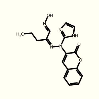 CCCC(C=NO)=NN(c1ncc[nH]1)c1cc2ccccc2oc1=O